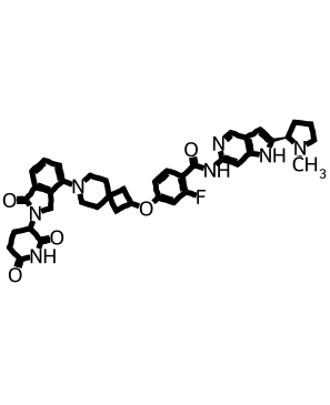 CN1CCC[C@@H]1c1cc2cnc(NC(=O)c3ccc(OC4CC5(CCN(c6cccc7c6CN(C6CCC(=O)NC6=O)C7=O)CC5)C4)cc3F)cc2[nH]1